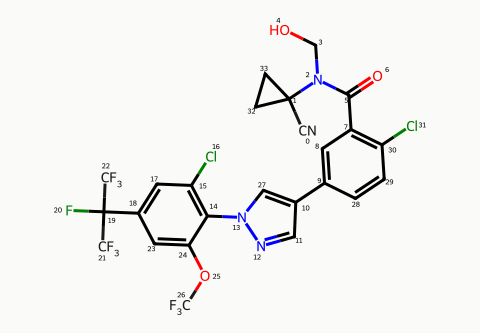 N#CC1(N(CO)C(=O)c2cc(-c3cnn(-c4c(Cl)cc(C(F)(C(F)(F)F)C(F)(F)F)cc4OC(F)(F)F)c3)ccc2Cl)CC1